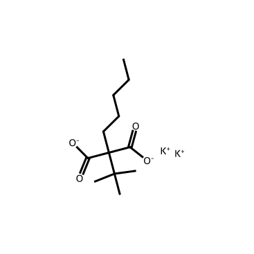 CCCCCC(C(=O)[O-])(C(=O)[O-])C(C)(C)C.[K+].[K+]